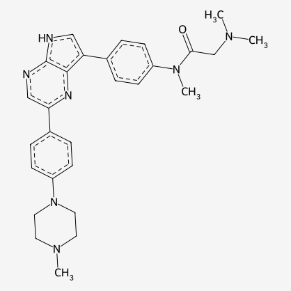 CN(C)CC(=O)N(C)c1ccc(-c2c[nH]c3ncc(-c4ccc(N5CCN(C)CC5)cc4)nc23)cc1